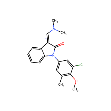 COc1c(C)cc(N2C(=O)/C(=C\N(C)C)c3ccccc32)cc1Cl